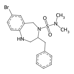 CN(C)S(=O)(=O)N1Cc2cc(Br)ccc2NCC1Cc1ccccc1